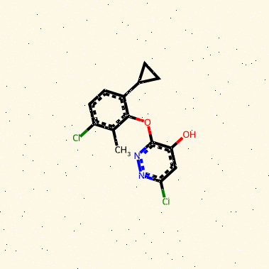 Cc1c(Cl)ccc(C2CC2)c1Oc1nnc(Cl)cc1O